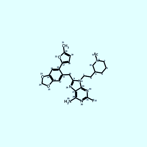 CC(=O)N1CCCC(CCn2c(Cc3cc4c(cc3-c3ccc(C)o3)OCO4)nc3c(N)nc(F)nc32)C1